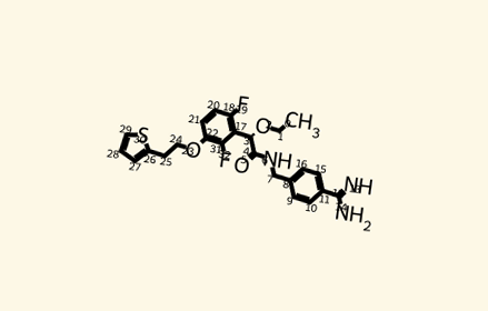 CCO[C@H](C(=O)NCc1ccc(C(=N)N)cc1)c1c(F)ccc(OCCc2cccs2)c1F